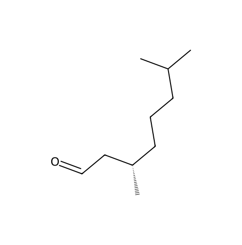 CC(C)CCC[C@H](C)CC=O